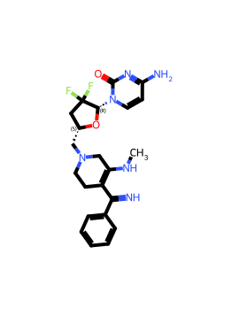 CNC1=C(C(=N)c2ccccc2)CCN(C[C@@H]2CC(F)(F)[C@H](n3ccc(N)nc3=O)O2)C1